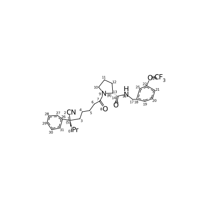 CC(C)[C@@](C#N)(CCCCC(=O)N1CCC[C@@H]1C(=O)NCc1cccc(OC(F)(F)F)c1)c1ccccc1